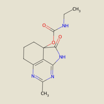 CCNC(=O)OC12CCCc3nc(C)nc(c31)NC2=O